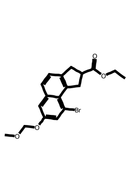 CCOC(=O)C1Cc2ccc3cc(OCOC)cc(Br)c3c2C1